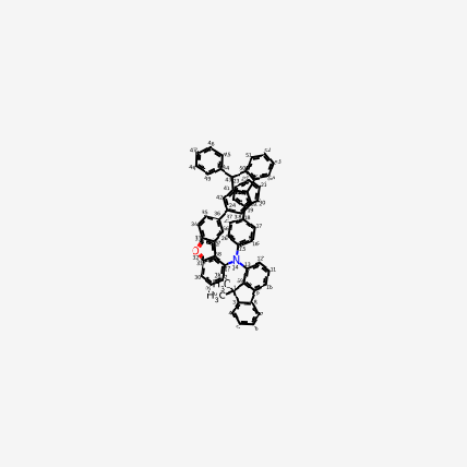 CC1(C)c2ccccc2-c2cccc(N(c3ccc(-c4ccccc4)cc3)c3cccc4oc5ccc(-c6ccc7c(c6)C(c6ccccc6)c6ccccc6-7)cc5c34)c21